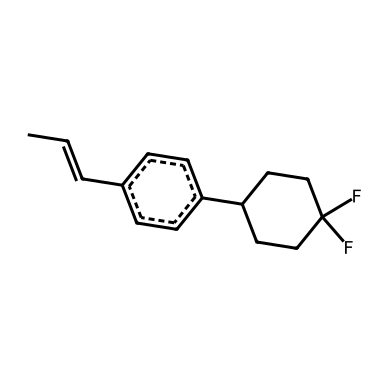 CC=Cc1ccc(C2CCC(F)(F)CC2)cc1